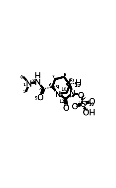 CN(C)NC(=O)[C@@H]1CC[C@@H]2CN1C(=O)N2OS(=O)(=O)O